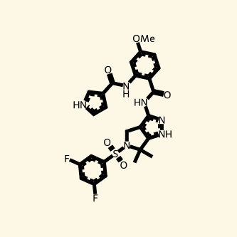 COc1ccc(C(=O)Nc2n[nH]c3c2CN(S(=O)(=O)c2cc(F)cc(F)c2)C3(C)C)c(NC(=O)c2cc[nH]c2)c1